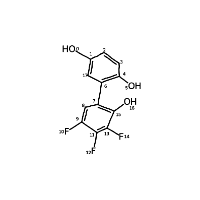 Oc1ccc(O)c(-c2cc(F)c(F)c(F)c2O)c1